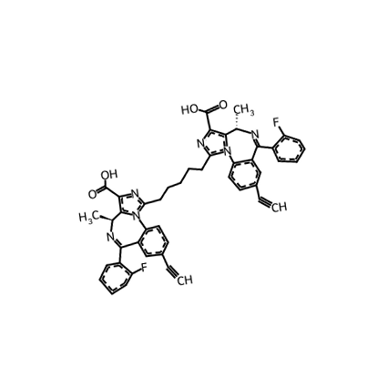 C#Cc1ccc2c(c1)C(c1ccccc1F)=N[C@@H](C)c1c(C(=O)O)nc(CCCCCc3nc(C(=O)O)c4n3-c3ccc(C#C)cc3C(c3ccccc3F)=N[C@H]4C)n1-2